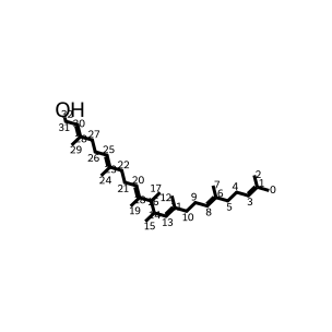 CC(C)=CCC/C(C)=C/CC/C(C)=C/C(C)C(C)/C(C)=C/CC/C(C)=C/CC/C(C)=C/CO